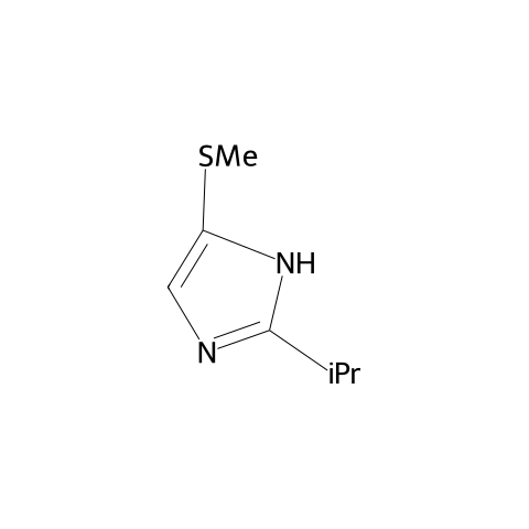 CSc1cnc(C(C)C)[nH]1